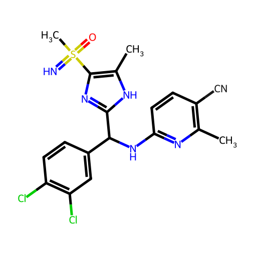 Cc1nc(NC(c2ccc(Cl)c(Cl)c2)c2nc(S(C)(=N)=O)c(C)[nH]2)ccc1C#N